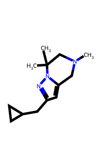 CN1Cc2cc(CC3CC3)nn2C(C)(C)C1